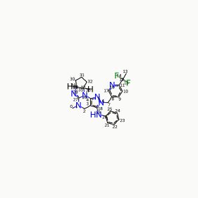 CN1Cc2c(nn(Cc3ccc(C(C)(F)F)nc3)c2Nc2ccccc2)N2C1=N[C@@H]1CCC[C@@H]12